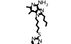 CCCCc1nc2c(N)nc(C)c(C)c2n1CCCCCSc1ncccn1